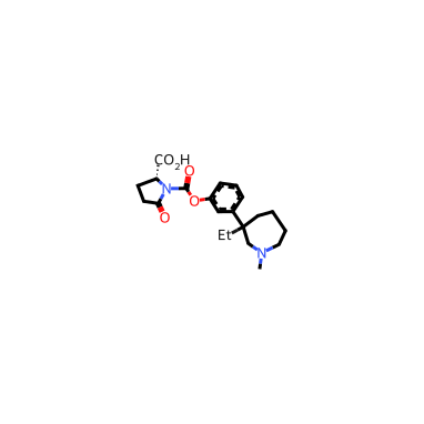 CCC1(c2cccc(OC(=O)N3C(=O)CC[C@@H]3C(=O)O)c2)CCCCN(C)C1